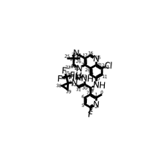 Cc1nc(F)ccc1[C@H](Nc1cc(Cl)c2ncc(C#N)c(N[C@H](C)C(C)(C)C)c2c1)C1=CN(C2(C(F)(F)F)CC2)NN1